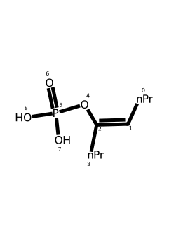 CCCC=C(CCC)OP(=O)(O)O